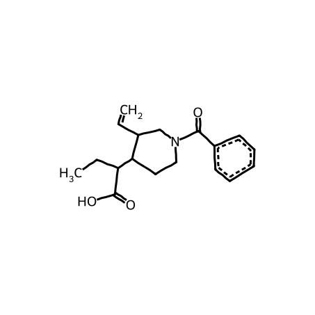 C=CC1CN(C(=O)c2ccccc2)CCC1C(CC)C(=O)O